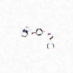 C[C@H]1[C@H](NC(=O)c2ccc(Oc3ncc(N4CCOCC4)o3)cc2)C2CCN1CC2